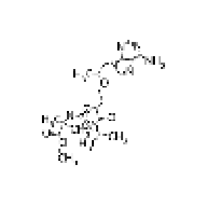 CCOC(=O)C(C)(C)/N=[P+](\[O-])OC(CCOC(C)Cn1cnc2c(N)ncnc21)C(=O)OC(C)C